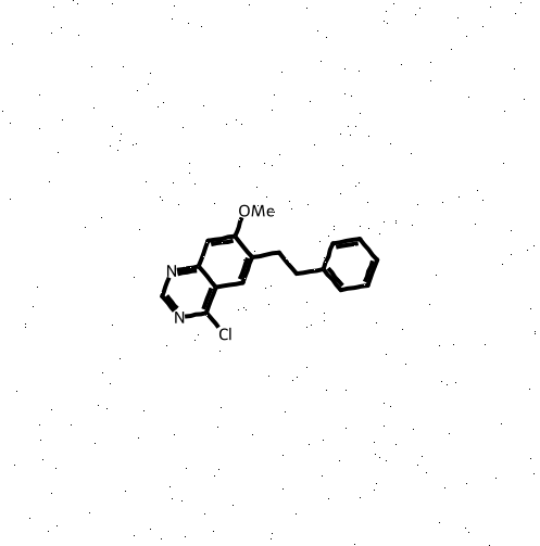 COc1cc2ncnc(Cl)c2cc1CCc1ccccc1